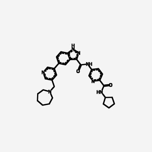 O=C(NC1CCCC1)c1ccc(NC(=O)c2n[nH]c3ccc(-c4cncc(CN5CCCCCC5)c4)cc23)cn1